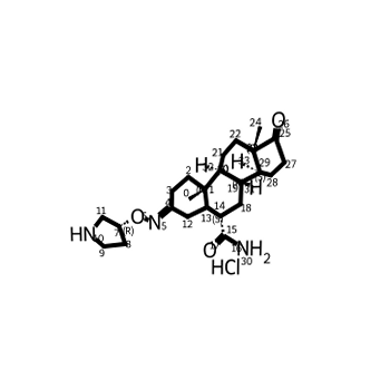 C[C@]12CCC(=NO[C@@H]3CCNC3)CC1[C@@H](C(N)=O)C[C@@H]1[C@@H]2CC[C@]2(C)C(=O)CC[C@@H]12.Cl